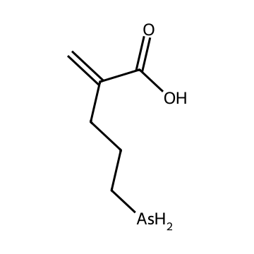 C=C(CCC[AsH2])C(=O)O